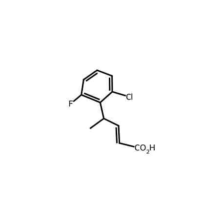 CC(/C=C/C(=O)O)c1c(F)cccc1Cl